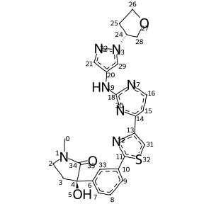 CN1CC[C@@](O)(c2cccc(-c3nc(-c4ccnc(Nc5cnn([C@@H]6CCOC6)c5)n4)cs3)c2)C1=O